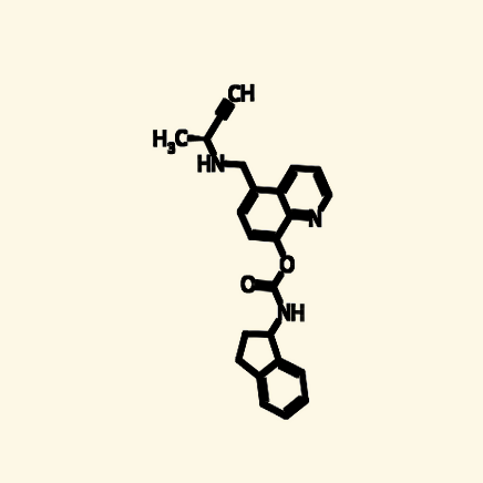 C#C[C@H](C)NCc1ccc(OC(=O)NC2CCc3ccccc32)c2ncccc12